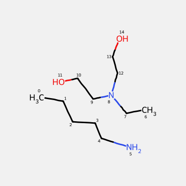 CCCCCN.CCN(CCO)CCO